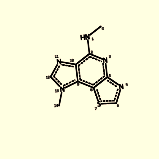 CNc1nc2ncsc2c2c1ncn2C